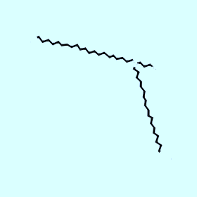 CCCCCCCCCCCCCCCCCCCCCCN(CCCN)CCCCCCCCCCCCCCCCCCCC